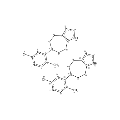 Cc1cnc(Cl)nc1N1CCc2nc[nH]c2CC1.Cc1cnc(Cl)nc1N1CCc2nc[nH]c2CC1